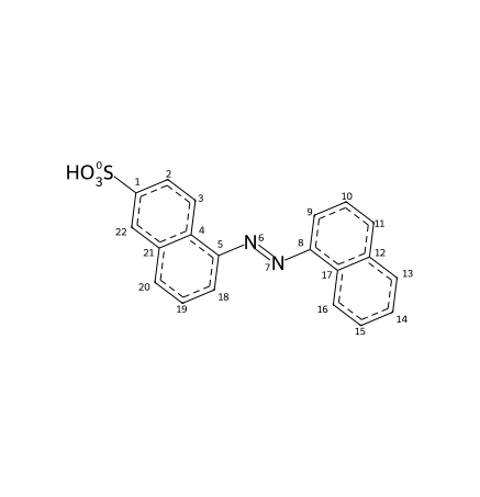 O=S(=O)(O)c1ccc2c(N=Nc3cccc4ccccc34)cccc2c1